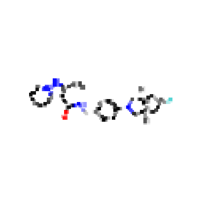 Cc1nn2ccccc2c1C(=O)NCc1ccc(N2C[C@H]3C[C@H](F)C[C@H]3C2)cc1